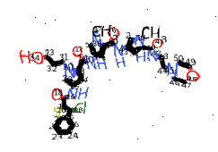 Cn1cc(NC(=O)c2cc(NC(=O)c3cc(NC(=O)c4sc5ccccc5c4Cl)cn3CCCO)cn2C)cc1C(=O)NCCN1CCOCC1